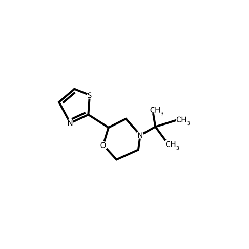 CC(C)(C)N1CCOC(c2nccs2)C1